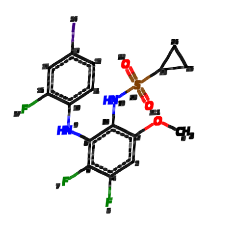 COc1cc(F)c(F)c(Nc2ccc(I)cc2F)c1NS(=O)(=O)C1CC1